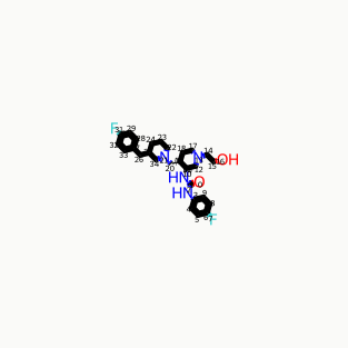 O=C(Nc1ccc(F)cc1)N[C@H]1CN(CCO)CC[C@H]1CN1CCCC(Cc2ccc(F)cc2)C1